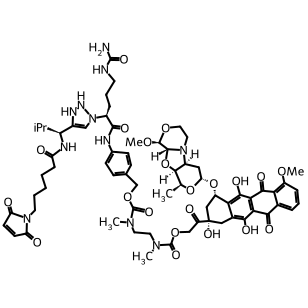 COc1cccc2c1C(=O)c1c(O)c3c(c(O)c1C2=O)C[C@@](O)(C(=O)COC(=O)N(C)CCN(C)C(=O)OCc1ccc(NC(=O)[C@H](CCCNC(N)=O)N2C=C([C@@H](NC(=O)CCCCCN4C(=O)C=CC4=O)C(C)C)NN2)cc1)C[C@@H]3O[C@H]1C[C@H]2[C@H](O[C@@H]3[C@@H](OC)OCCN32)[C@H](C)O1